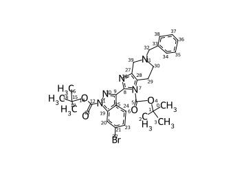 CC(C)(C)OC(=O)n1c(-c2nn(C(=O)OC(C)(C)C)c3cc(Br)ccc23)nc2c1CCN(Cc1ccccc1)C2